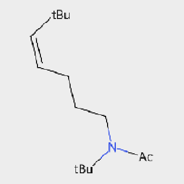 CC(=O)N(CCC/C=C\C(C)(C)C)C(C)(C)C